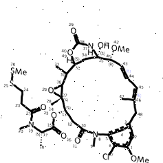 COc1cc2cc(c1Cl)N(C)C(=O)C[C@H](OC(=O)[C@H](C)N(C)C(=O)CCSSC)[C@]1(C)OC1C(C)[C@@H]1C[C@@](O)(NC(=O)O1)[C@H](OC)/C=C/C=C(\C)C2